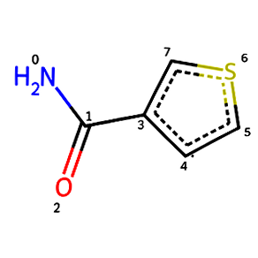 NC(=O)c1[c]csc1